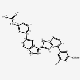 COc1cc(F)cc(-c2nccc3[nH]c(-c4n[nH]c5ccc(-c6cncc(NC(=O)C(C)(C)C)c6)cc45)nc23)c1